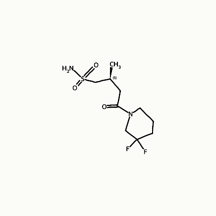 C[C@@H](CC(=O)N1CCCC(F)(F)C1)CS(N)(=O)=O